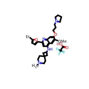 CCc1ccc(-c2cc(NC3CC4(CCN(C)CC4)C3)c3cc(OC)c(OCCCN4CCCC4)cc3n2)o1.O=C(O)C(F)(F)F